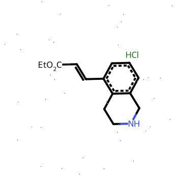 CCOC(=O)C=Cc1cccc2c1CCNC2.Cl